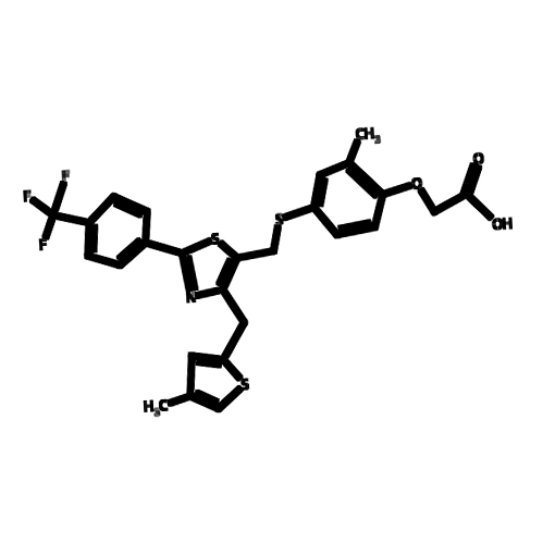 Cc1csc(Cc2nc(-c3ccc(C(F)(F)F)cc3)sc2CSc2ccc(OCC(=O)O)c(C)c2)c1